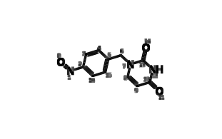 O=Nc1ccc(Cn2ccc(=O)[nH]c2=O)cc1